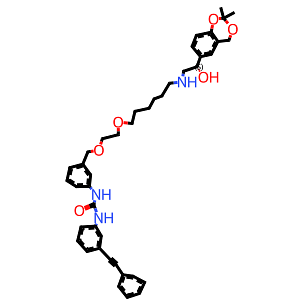 CC1(C)OCc2cc([C@H](O)CNCCCCCCOCCOCc3cccc(NC(=O)Nc4cccc(C#Cc5ccccc5)c4)c3)ccc2O1